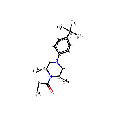 CCC(=O)N1[C@H](C)CN(c2ccc(C(C)(C)C)cc2)C[C@@H]1C